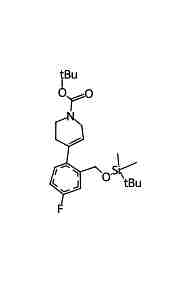 CC(C)(C)OC(=O)N1CC=C(c2ccc(F)cc2CO[Si](C)(C)C(C)(C)C)CC1